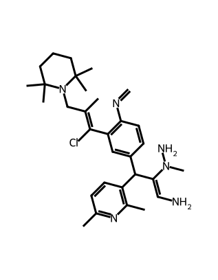 C=Nc1ccc(C(/C(=C/N)N(C)N)c2ccc(C)nc2C)cc1/C(Cl)=C(\C)CN1C(C)(C)CCCC1(C)C